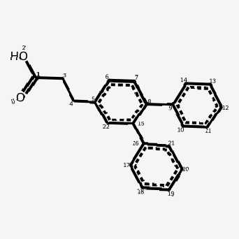 O=C(O)CCc1ccc(-c2ccccc2)c(-c2ccccc2)c1